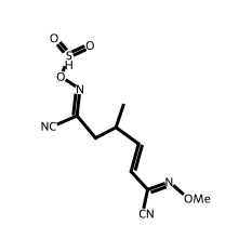 CON=C(C#N)/C=C/C(C)CC(C#N)=NO[SH](=O)=O